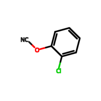 N#COc1ccccc1Cl